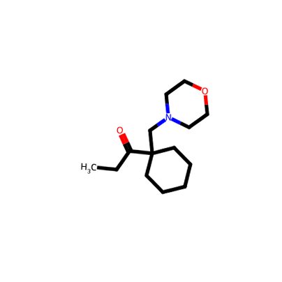 CCC(=O)C1(CN2CCOCC2)CCCCC1